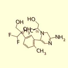 Cc1ccc([C@](O)(CO)C(F)F)cc1C1=CN=C(N)CN1[C@@H](C)CO